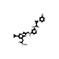 COC(=O)Cc1cc(C2CC2)cn2cc(CNc3ccnc(NC(=O)C4C[C@@H]4c4cccc(Cl)c4)c3)nc12